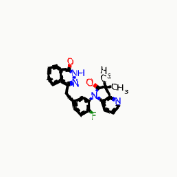 CC1(C)C(=O)N(c2cc(Cc3n[nH]c(=O)c4ccccc34)ccc2F)c2cccnc21